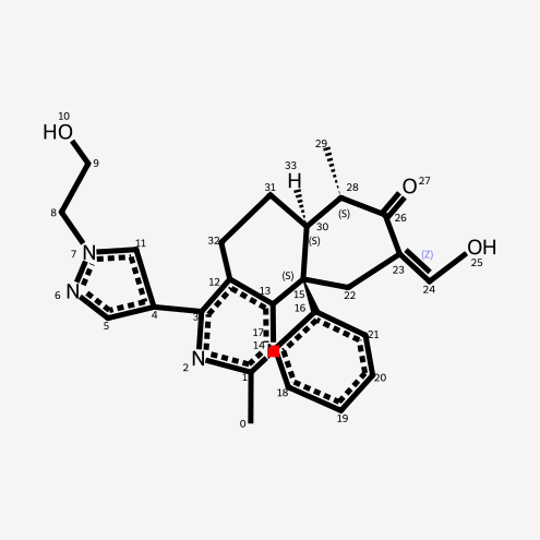 Cc1nc(-c2cnn(CCO)c2)c2c(n1)[C@@]1(c3ccccc3)C/C(=C/O)C(=O)[C@@H](C)[C@@H]1CC2